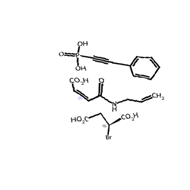 C=CCNC(=O)/C=C\C(=O)O.O=C(O)C[C@H](Br)C(=O)O.O=P(O)(O)C#Cc1ccccc1